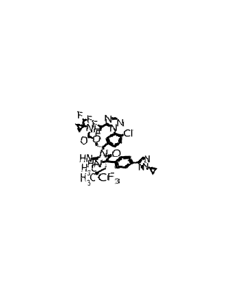 CC(C)(C[C@]1(c2ccc(-c3cnn(C4CC4)n3)cc2)NC(=N)N([C@H](COC(=O)NC2(C(F)F)CC2)c2ccc(Cl)c(-n3ncnc3C(F)F)c2)C1=O)C(F)(F)F